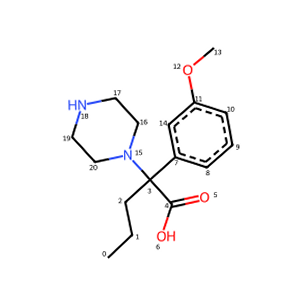 CCCC(C(=O)O)(c1cccc(OC)c1)N1CCNCC1